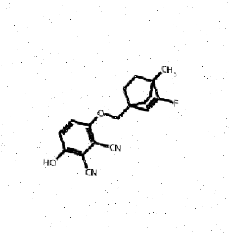 CC12CCC(COc3ccc(O)c(C#N)c3C#N)(C=C1F)CC2